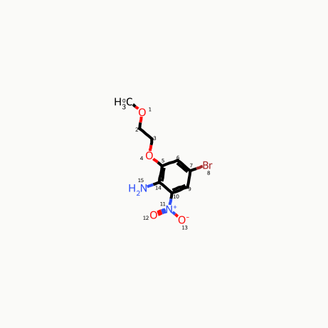 COCCOc1cc(Br)cc([N+](=O)[O-])c1N